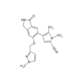 Cc1c(-c2cc3c(cc2OCc2ccn(C)n2)CNC3=O)cc(C#N)n1C